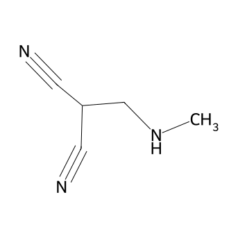 CNCC(C#N)C#N